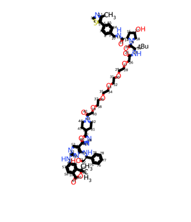 Cc1ncsc1-c1ccc(CNC(=O)[C@@H]2C[C@@H](O)CN2C(=O)[C@@H](NC(=O)COCCOCCOCCOCCOCC(=O)N2CCC(c3nnc(-c4cnc(Nc5ccc6c(c5)C(C)(C)OC6=O)nc4N[C@H](CO)c4ccccc4)o3)CC2)C(C)(C)C)cc1